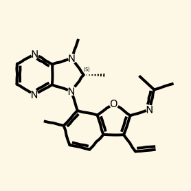 C=Cc1c(N=C(C)C)oc2c(N3c4nccnc4N(C)[C@@H]3C)c(C)ccc12